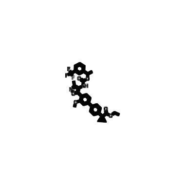 CCOC(=O)C1(c2ccc(-c3ccc(-c4onc(C)c4NC(=O)OC(C)c4cccc(C(F)(F)F)c4)c(OC)c3)cc2)CC1